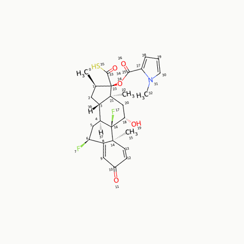 C[C@@H]1C[C@H]2[C@@H]3C[C@H](F)C4=CC(=O)C=C[C@]4(C)[C@@]3(F)[C@@H](O)C[C@]2(C)[C@@]1(OC(=O)c1cccn1C)C(=O)S